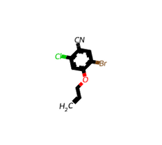 C=CCOc1cc(Cl)c(C#N)cc1Br